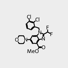 COC(=O)c1cc(N2CCOCC2)cc2c1nc(C(F)F)n2Cc1cccc(Cl)c1Cl